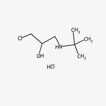 CC(C)(C)NCC(O)CCl.Cl